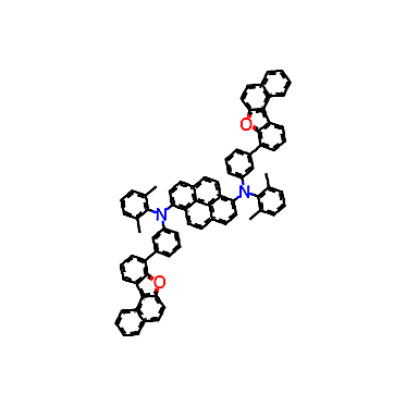 Cc1cccc(C)c1N(c1cccc(-c2cccc3c2oc2ccc4ccccc4c23)c1)c1ccc2ccc3c(N(c4cccc(-c5cccc6c5oc5ccc7ccccc7c56)c4)c4c(C)cccc4C)ccc4ccc1c2c43